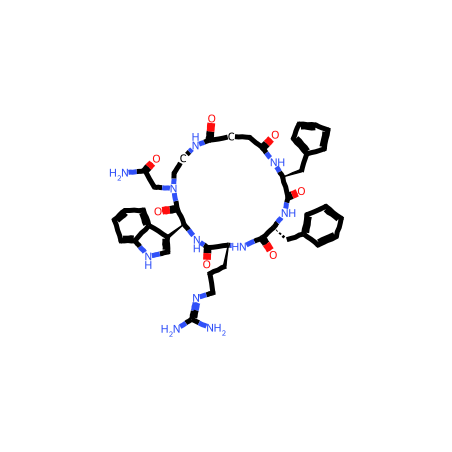 NC(=O)CN1CCNC(=O)CCC(=O)N[C@@H](Cc2ccccc2)C(=O)N[C@H](Cc2ccccc2)C(=O)N[C@@H](CCCN=C(N)N)C(=O)N[C@@H](c2c[nH]c3ccccc23)C1=O